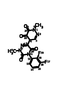 CN1N=CC(c2nn(C)c(=O)n(-c3cccc(F)c3F)c2=O)C(=O)C1=O